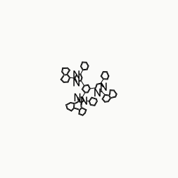 c1ccc(-c2cc(-c3cc(-c4cc(-c5ccccc5)nc(-c5cccc6ccccc56)n4)cc(-c4nc5c6ccccc6c6ccccc6c5n4-c4ccccc4)c3)nc(-c3cccc4ccccc34)n2)cc1